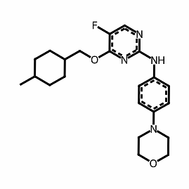 CC1CCC(COc2nc(Nc3ccc(N4CCOCC4)cc3)ncc2F)CC1